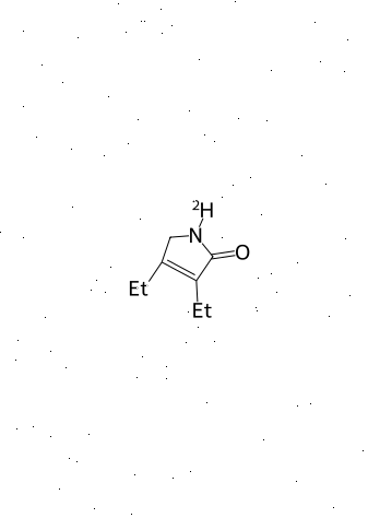 [2H]N1CC(CC)=C(CC)C1=O